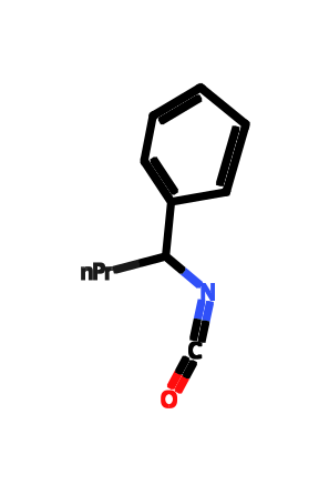 [CH2]CCC(N=C=O)c1ccccc1